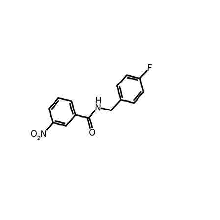 O=C(NCc1ccc(F)cc1)c1cccc([N+](=O)[O-])c1